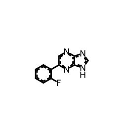 Fc1ccccc1-c1cnc2nc[nH]c2n1